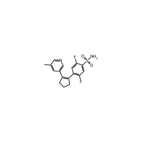 Cc1cncc(C2=C(c3cc(F)c(S(N)(=O)=O)cc3F)CCC2)c1